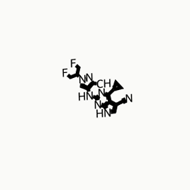 Cc1nn(C(CF)CF)cc1Nc1nc(C2CC2)c2c(C#N)c[nH]c2n1